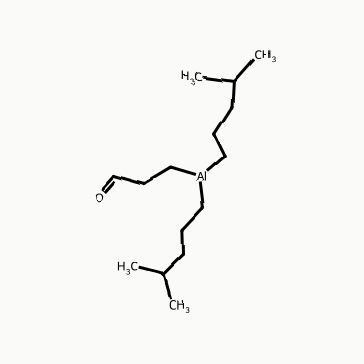 CC(C)CC[CH2][Al]([CH2]CC=O)[CH2]CCC(C)C